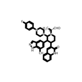 Cc1cc(C2C(c3cc4ccccc4[nH]c3=O)CCN([C@H](C)C=O)C2N2CCN(c3ccc(F)cc3)CC2)cc2cn[nH]c12